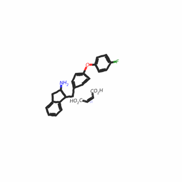 NC1Cc2ccccc2C1Cc1ccc(Oc2ccc(F)cc2)cc1.O=C(O)/C=C\C(=O)O